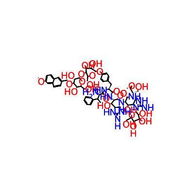 COc1ccc2cc(COC3C(O)C(CO)OC(OC4C(CO)OC(Oc5ccc(C[C@H](NC(=O)[C@@H](N)C(C)c6ccccc6)C(=O)N[C@H](C(=O)N[C@H](C(=O)N[C@H]([C]=O)CO)C(O)C6CNC(=N)N6C6OC(CO)C(O)C(O)C6O)C(O)C6CNC(=N)N6)cc5)C(O)C4O)C3O)ccc2c1